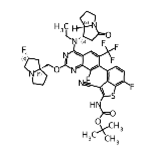 CCN(c1nc(OC[C@@]23CCCN2C[C@H](F)C3)nc2c(F)c(-c3ccc(F)c4sc(NC(=O)OC(C)(C)C)c(C#N)c34)c(C(F)(F)F)cc12)[C@H]1CC(=O)N2CCC[C@@H]12